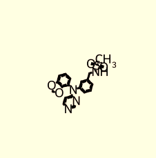 CS(=O)(=O)NCc1cccc(N(c2ccncn2)c2cccc3c2OCO3)c1